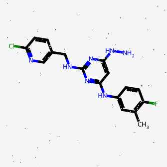 Cc1cc(Nc2cc(NN)nc(NCc3ccc(Cl)nc3)n2)ccc1F